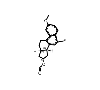 COc1ccc2c(F)cc3c(c2c1)CC[C@]1(C)C[C@@H](OC=O)C[C@@H]31